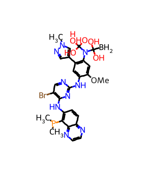 BC(O)(O)N(c1cc(OC)c(Nc2ncc(Br)c(Nc3ccc4nccnc4c3P(C)C)n2)cc1-c1cnn(C)c1)C(O)(O)O